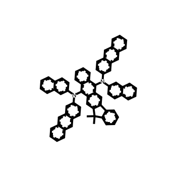 CC1(C)c2ccccc2-c2cc3c(N(c4ccc5ccccc5c4)c4ccc5cc6ccccc6cc5c4)c4ccccc4c(N(c4ccc5ccccc5c4)c4ccc5cc6ccccc6cc5c4)c3cc21